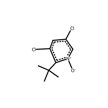 CC(C)(C)c1c(Cl)cc(Cl)c[n+]1[O-]